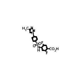 Cc1cn(-c2ccc(S(=O)(=O)Nc3cc(F)c(C(=O)O)cc3F)cc2)nn1